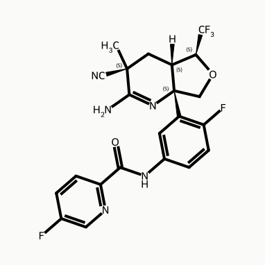 C[C@]1(C#N)C[C@@H]2[C@@H](C(F)(F)F)OC[C@]2(c2cc(NC(=O)c3ccc(F)cn3)ccc2F)N=C1N